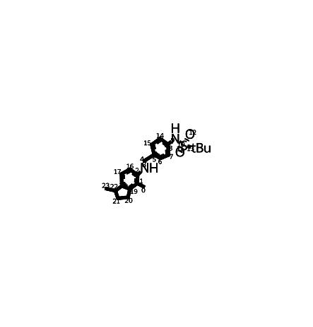 Cc1c(NCc2ccc(NS(=O)(=O)C(C)(C)C)cc2)ccc2c1CCC2C